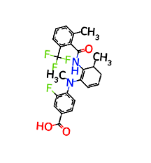 Cc1cccc(C(F)(F)F)c1C(=O)NC1=C(N(C)c2ccc(C(=O)O)cc2F)C=CCC1C